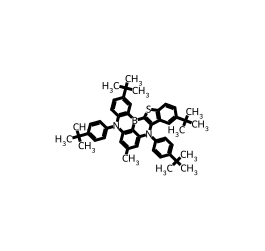 Cc1cc2c3c(c1)N(c1ccc(C(C)(C)C)cc1)c1c(sc4ccc(C(C)(C)C)cc14)B3c1cc(C(C)(C)C)ccc1N2c1ccc(C(C)(C)C)cc1